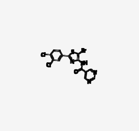 O=C(Nc1nc(-c2ccc(Cl)c(Cl)c2)sc1Br)c1cncnc1